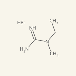 Br.CCN(C)C(=N)N